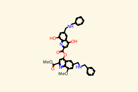 COC(=O)c1cc(OC(=O)c2cc(O)c3cc(CNCc4ccccc4)cc(O)c3n2)c2cc(CNCc3ccccc3)cc(OC)c2n1